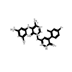 Cc1cc(F)ccc1-c1cc(Cn2cnc(C(F)(F)F)c(Oc3cc(N)cc(Cl)c3)c2=O)n[nH]c1=O